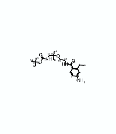 CCc1cc(N)ccc1C(=O)NCCOC(C)(C)CNC(=O)OC(C)(C)C